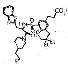 CCC1(CC)CNc2c(cc(CCC(=O)O)cc2S(=O)(=O)NC(Cc2nc3ccccc3s2)C(=O)N2CCC(CCF)CC2)C1